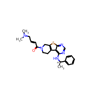 C[C@@H](Nc1ncnc2sc3c(c12)CCN(C(=O)C=CCN(C)C)C3)c1ccccc1